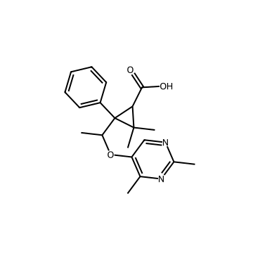 Cc1ncc(OC(C)C2(c3ccccc3)C(C(=O)O)C2(C)C)c(C)n1